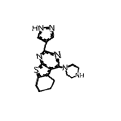 c1n[nH]cc1-c1nc(N2CCNCC2)c2c3c(sc2n1)CCCC3